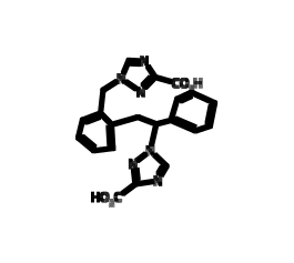 O=C(O)c1ncn(Cc2ccccc2CC(c2ccccc2)n2cnc(C(=O)O)n2)n1